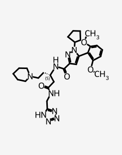 COc1cccc(OC)c1-c1cc(C(=O)N[C@@H](CCN2CCCCC2)CC(=O)NCc2nnn[nH]2)nn1C1CCCC1